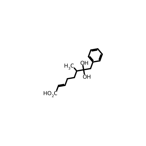 CC(CCC=CC(=O)O)C(O)(O)Cc1ccccc1